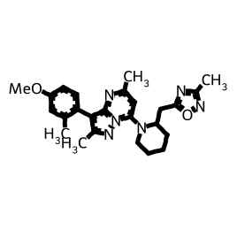 COc1ccc(-c2c(C)nn3c(N4CCCCC4Cc4nc(C)no4)cc(C)nc23)c(C)c1